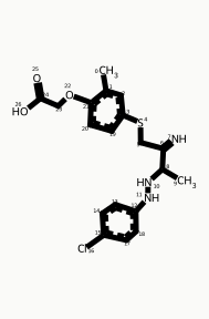 Cc1cc(SCC(=N)C(C)NNc2ccc(Cl)cc2)ccc1OCC(=O)O